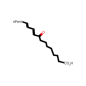 CCCCC/C=C/C=C/C(=O)CCCCCCCC(=O)O